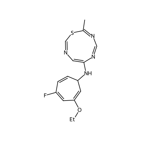 CCOC1=CC(Nc2cncsc(C)ncn2)C=CC(F)=C1